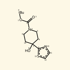 CC(C)(C)OC(=O)N1CCC(O)(c2nccs2)CC1